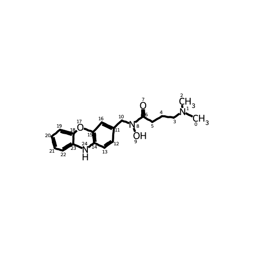 CN(C)CCCC(=O)N(O)Cc1ccc2c(c1)Oc1ccccc1N2